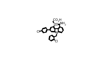 NC(=O)c1cccc2c1c1c(OCC(=O)O)cc(-c3ccc(Cl)cc3)cc1n2Cc1ccccc1Cl